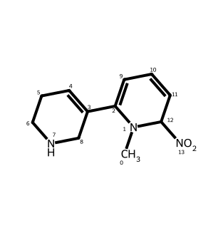 CN1C(C2=CCCNC2)=CC=CC1[N+](=O)[O-]